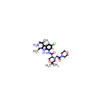 C=Cc1[nH]c2c(NC(=O)[C@@H]3COC(C)(C)CN3CC(=O)N3CCOCC3)cc(Cl)cc2c1/C(C)=C\N